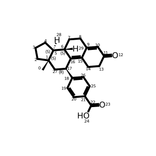 C[C@@]12CCC[C@H]1[C@@H]1CCC3=CC(=O)CCC3=C1[C@@H](c1ccc(C(=O)O)cc1)C2